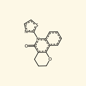 O=c1c2c(c3ccccc3n1-c1nccs1)OCCC2